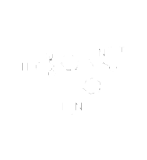 CCCN1CC(c2ccc(S(C)(=O)=O)cc2)=C(c2ccc(CN)cc2)C1=O